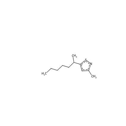 CCCCCC(C)c1cc(C)ns1